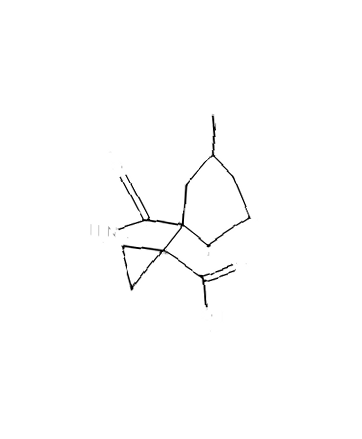 CC1CCCC(C(N)=O)(C2(C(=O)O)CC2)C1